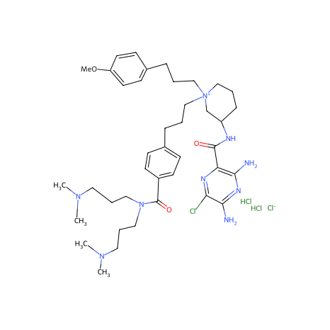 COc1ccc(CCC[N+]2(CCCc3ccc(C(=O)N(CCCN(C)C)CCCN(C)C)cc3)CCCC(NC(=O)c3nc(Cl)c(N)nc3N)C2)cc1.Cl.Cl.[Cl-]